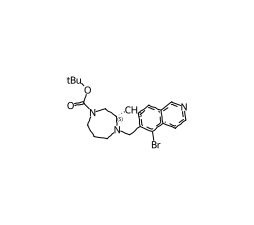 C[C@H]1CN(C(=O)OC(C)(C)C)CCCN1Cc1ccc2cnccc2c1Br